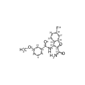 COc1cccc(C(=O)Nc2c(C(N)=O)oc3cc(F)ccc23)c1